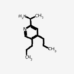 CCCc1cnc(C(C)N)cc1CCC